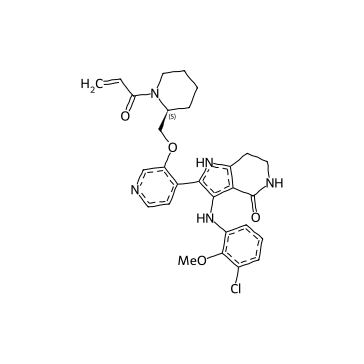 C=CC(=O)N1CCCC[C@H]1COc1cnccc1-c1[nH]c2c(c1Nc1cccc(Cl)c1OC)C(=O)NCC2